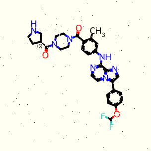 Cc1cc(Nc2nccn3c(-c4ccc(OC(F)F)cc4)cnc23)ccc1C(=O)N1CCN(C(=O)[C@H]2CCNC2)CC1